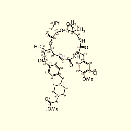 COC(=O)CN1CCN(Cc2ccc([C@H]3O[C@@H]3[C@@H](C)[C@@H]3C/C=C/C(=O)N[C@H](Cc4ccc(OC)c(Cl)c4)C(=O)NCC(C)(C)C(=O)O[C@@H](CC(C)C)C(=O)O3)cc2)CC1